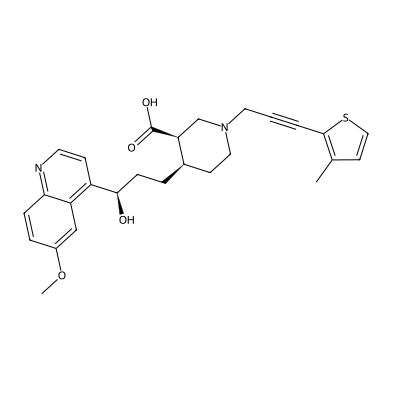 COc1ccc2nccc([C@H](O)CC[C@@H]3CCN(CC#Cc4sccc4C)C[C@@H]3C(=O)O)c2c1